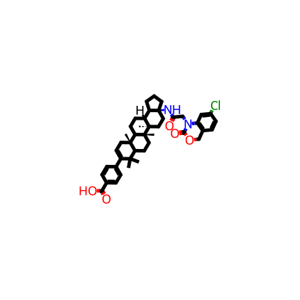 CC1(C)C(c2ccc(C(=O)O)cc2)=CC[C@@]2(C)C1CC[C@]1(C)C2CC[C@@H]2C3CCC[C@]3(NC(=O)CN3C(=O)OCc4ccc(Cl)cc43)CC[C@]21C